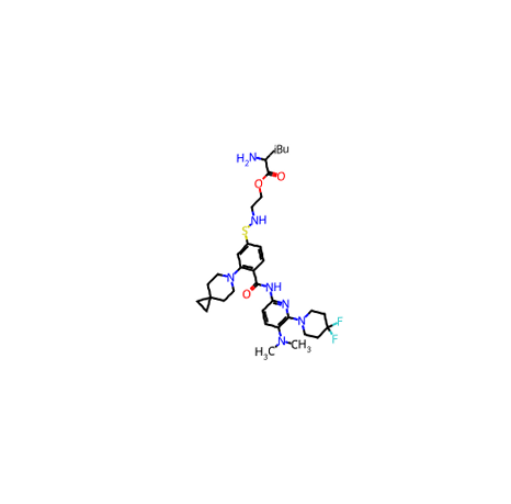 CCC(C)C(N)C(=O)OCCNSc1ccc(C(=O)Nc2ccc(N(C)C)c(N3CCC(F)(F)CC3)n2)c(N2CCC3(CC2)CC3)c1